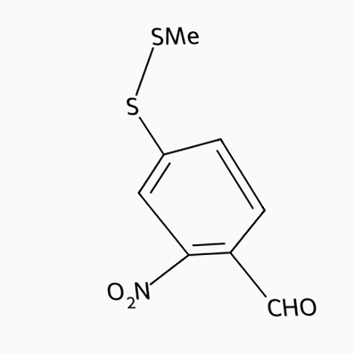 CSSc1ccc(C=O)c([N+](=O)[O-])c1